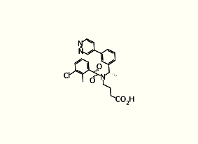 Cc1c(Cl)cccc1S(=O)(=O)N(CCCC(=O)O)[C@@H](C)c1cccc(-c2ccnnc2)c1